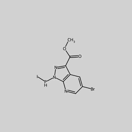 COC(=O)c1nn(PI)c2ncc(Br)cc12